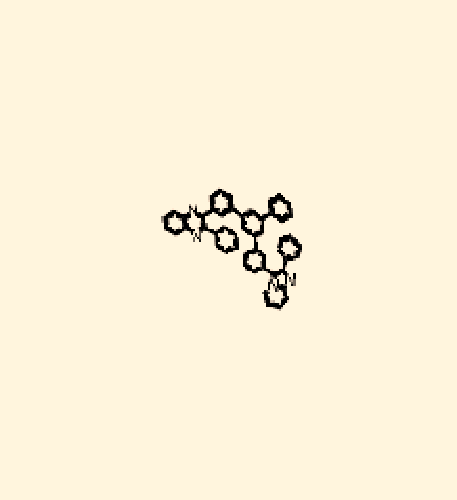 c1ccc(-c2cc(-c3cccc(-c4nc5ccccc5nc4-c4ccccc4)c3)cc(-c3cccc(-c4c(-c5ccccc5)nc5ccccn45)c3)c2)cc1